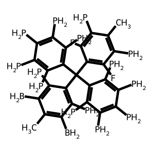 Bc1c(C)c(B)c(P)c(C(c2c(F)c(P)c(C)c(P)c2F)(c2c(P)c(P)c(P)c(P)c2P)c2c(P)c(P)c(P)c(P)c2P)c1P